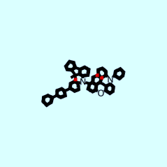 CC1(C)c2ccccc2-c2cccc(N(c3ccc(-c4ccc(-c5ccccc5)cc4)cc3)c3ccc4c5c(cccc35)-c3c(cccc3N(c3ccccc3)c3ccccc3)O4)c21